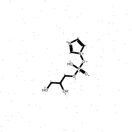 O=P(O)(OCC(O)CO)On1ccnc1